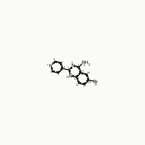 Nc1nc(-c2ccncc2)nc2ccc(Br)cc12